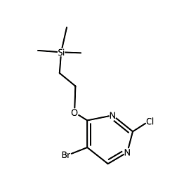 C[Si](C)(C)CCOc1nc(Cl)ncc1Br